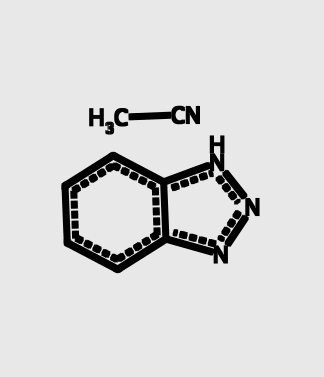 CC#N.c1ccc2[nH]nnc2c1